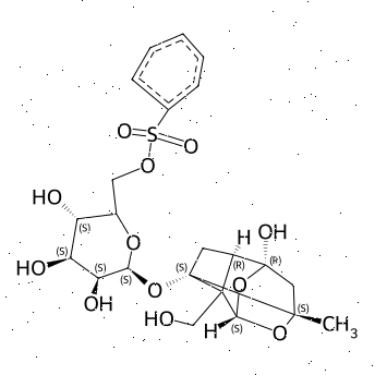 C[C@@]12C[C@@]3(O)O[C@H](O1)C1(CO)[C@H]3C[C@]12O[C@@H]1OC(COS(=O)(=O)c2ccccc2)[C@@H](O)[C@H](O)[C@@H]1O